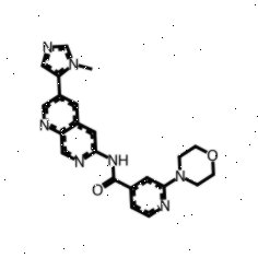 Cn1cncc1-c1cnc2cnc(NC(=O)c3ccnc(N4CCOCC4)c3)cc2c1